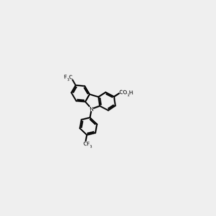 O=C(O)c1ccc2c(c1)c1cc(C(F)(F)F)ccc1n2-c1ccc(C(F)(F)F)cc1